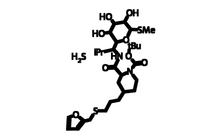 CSC1OC(C(NC(=O)C2CC(CCCSCc3ccco3)CCN2C(=O)OC(C)(C)C)C(C)C)C(O)C(O)C1O.S